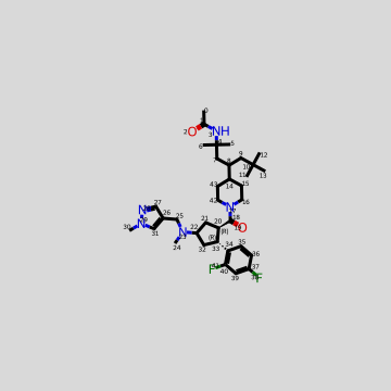 CC(=O)NC(C)(C)CC(CC(C)(C)C)C1CCN(C(=O)[C@@H]2CC(N(C)Cc3cnn(C)c3)C[C@H]2c2ccc(F)cc2F)CC1